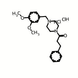 COc1ccc(CN2CCN(C(=O)CCc3ccccc3)CC2)cc1OC.Cl.Cl